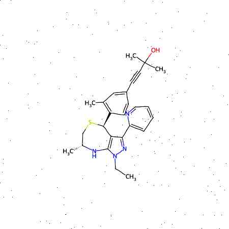 CCn1nc(-c2ccccn2)c2c1N[C@H](C)CS[C@H]2c1ccc(C#CC(C)(C)O)cc1C